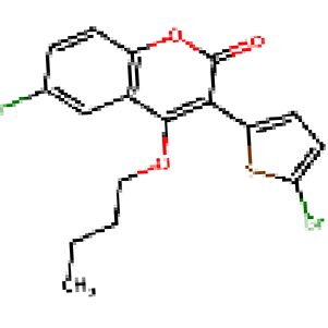 CCCCOc1c(-c2ccc(Br)s2)c(=O)oc2ccc(Br)cc12